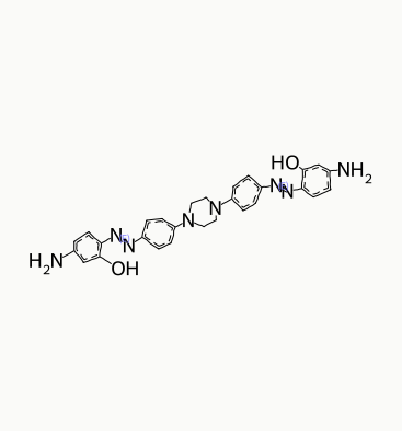 Nc1ccc(/N=N/c2ccc(N3CCN(c4ccc(/N=N/c5ccc(N)cc5O)cc4)CC3)cc2)c(O)c1